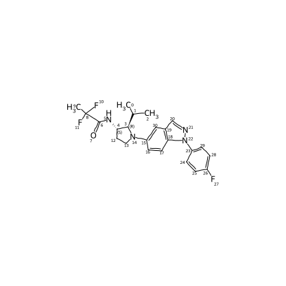 CC(C)[C@@H]1[C@@H](NC(=O)C(C)(F)F)CCN1c1ccc2c(cnn2-c2ccc(F)cc2)c1